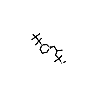 COC(C)(C)CC(C)CN1CCCN(C(C)(C)C(C)(C)C)C1